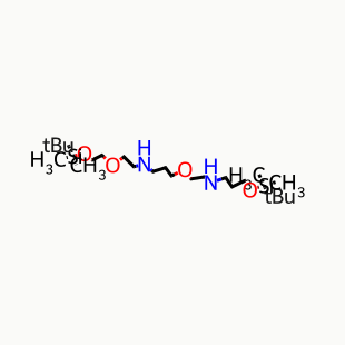 CC(C)(C)[Si](C)(C)OCCCNCCOCCCNCCOCCO[Si](C)(C)C(C)(C)C